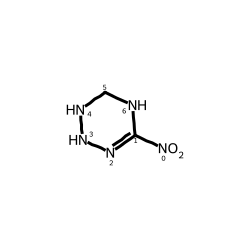 O=[N+]([O-])C1=NNNCN1